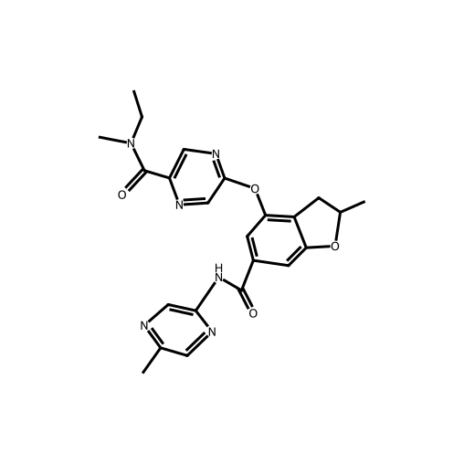 CCN(C)C(=O)c1cnc(Oc2cc(C(=O)Nc3cnc(C)cn3)cc3c2CC(C)O3)cn1